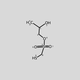 CC(O)COS(=O)(=O)CS